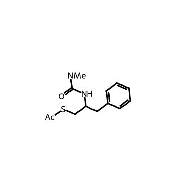 CNC(=O)NC(CSC(C)=O)Cc1ccccc1